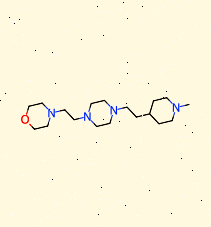 CN1CCC(CCN2CCN(CCN3CCOCC3)CC2)CC1